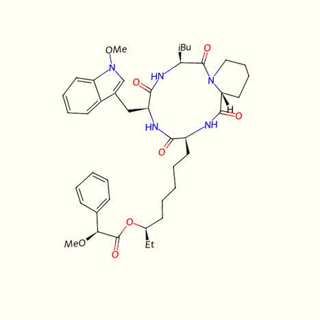 CCC(C)[C@@H]1NC(=O)[C@H](Cc2cn(OC)c3ccccc23)NC(=O)[C@H](CCCCC[C@@H](CC)OC(=O)[C@@H](OC)c2ccccc2)NC(=O)[C@H]2CCCCN2C1=O